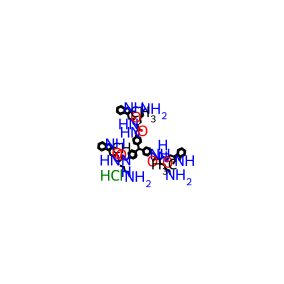 Cc1[nH]c2ccccc2c1CC(=O)N[C@@H](CCCCN)C(=O)Nc1ccc(C(c2ccc(NC(=O)[C@H](CCCCN)NC(=O)Cc3c(C)[nH]c4ccccc34)cc2)c2ccc(NC(=O)[C@H](CCCCN)NC(=O)Cc3c(C)[nH]c4ccccc34)cc2)cc1.Cl